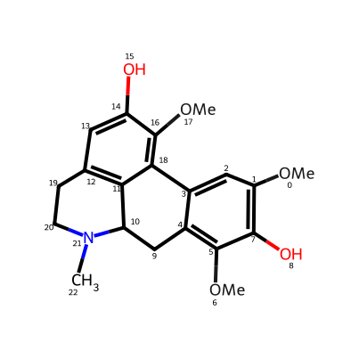 COc1cc2c(c(OC)c1O)CC1c3c(cc(O)c(OC)c3-2)CCN1C